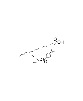 CCCCC(CC)COC(=O)c1ccc(N(C)C)cc1.CCCCCCCCCCCCCCCCCC(=O)O